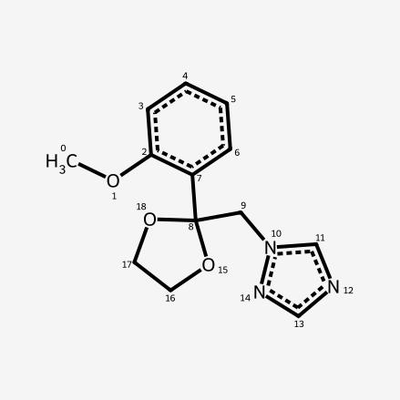 COc1ccccc1C1(Cn2cncn2)OCCO1